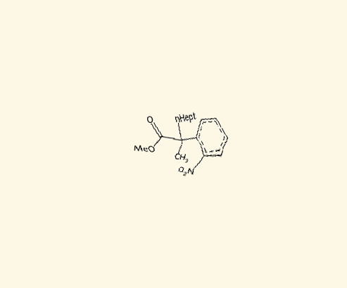 CCCCCCCC(C)(C(=O)OC)c1ccccc1[N+](=O)[O-]